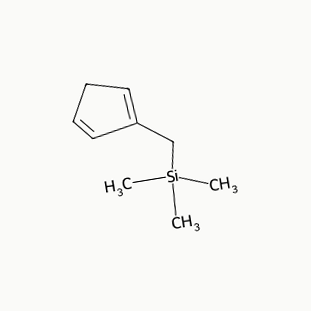 C[Si](C)(C)CC1=CCC=C1